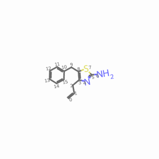 C=CCc1nc(N)sc1Cc1ccccc1